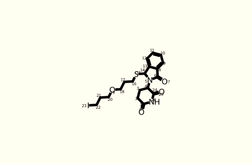 O=C1CCC(N2C(=O)c3ccccc3C2SCCCOCCCI)C(=O)N1